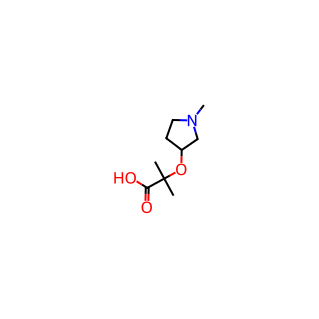 CN1CCC(OC(C)(C)C(=O)O)C1